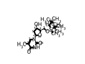 Cc1cn([C@H]2C[C@H](O)[C@@H](CO[Si](C)(CC(C)(C)C)C(C)(C)C)O2)c(=O)[nH]c1=O